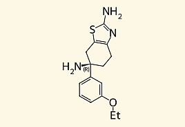 CCOc1cccc([C@@]2(N)CCc3nc(N)sc3C2)c1